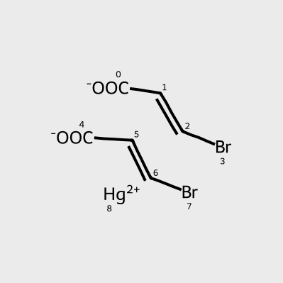 O=C([O-])C=CBr.O=C([O-])C=CBr.[Hg+2]